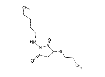 CCCCCNN1C(=O)CC(SCCC)C1=O